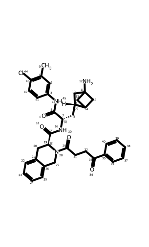 Cc1cc(NC(=O)[C@H](C[C@@H]2CC3(N)CC2C3)NC(=O)[C@@H]2Cc3ccccc3CN2C(=O)CCC(=O)c2ccccc2)ccc1Cl